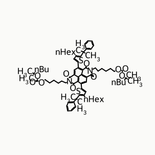 CCCCCCc1cc(-c2cc3c4c(c(-c5cc(CCCCCC)c(C(C)(C)c6ccccc6)s5)cc5c4c2C(=O)N(CCCCCCOC(=O)OC(C)(C)CCCC)C5=O)C(=O)N(CCCCCCOC(=O)OC(C)(C)CCCC)C3=O)sc1C(C)(C)c1ccccc1